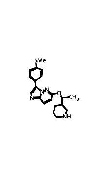 CSc1ccc(-c2cnc3ccc(OC(C)C4CCCNC4)nn23)cc1